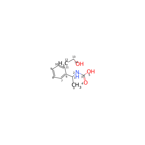 CC(NC(=O)O)c1ccccc1.CCO